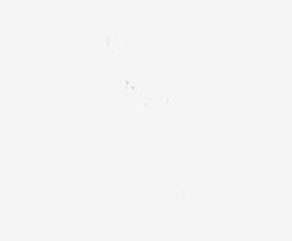 C=CNC(=O)CCCS(=O)(=O)O